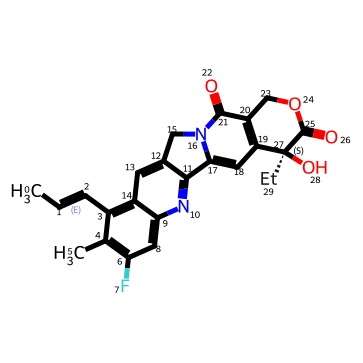 C/C=C/c1c(C)c(F)cc2nc3c(cc12)Cn1c-3cc2c(c1=O)COC(=O)[C@]2(O)CC